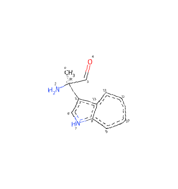 C[C@](N)(C=O)c1c[nH]c2ccccc12